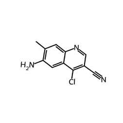 Cc1cc2ncc(C#N)c(Cl)c2cc1N